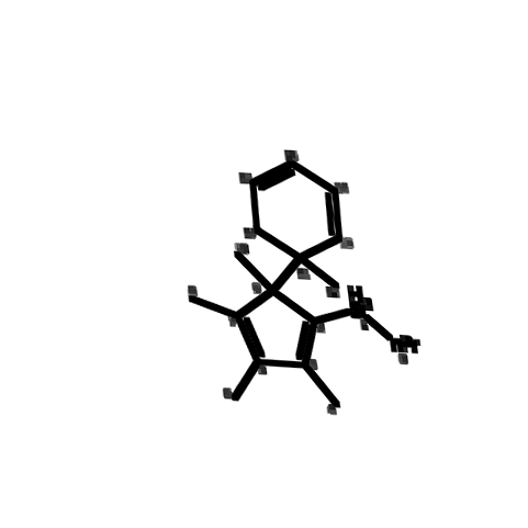 CCC[SiH2]C1=C(C)C(C)=C(C)C1(C)C1(C)C=CC=CC1